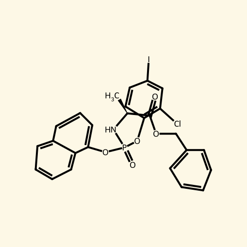 C[C@H](NP(=O)(Oc1ccc(I)cc1Cl)Oc1cccc2ccccc12)C(=O)OCc1ccccc1